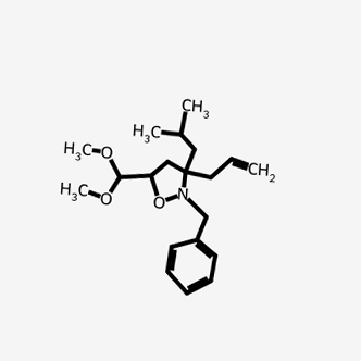 C=CCC1(CC(C)C)CC(C(OC)OC)ON1Cc1ccccc1